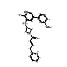 CNc1cc(-c2c[nH]c(=O)c(NC3CN(C(=O)C=CCc4ccccn4)C3)c2)ccn1